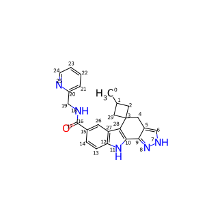 CC1CC2(Cc3c[nH]nc3-c3[nH]c4ccc(C(=O)NCc5ccccn5)cc4c32)C1